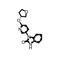 O=c1[nH]c2ccccc2n1-c1ccc(O[C@@H]2CCOC2)nc1